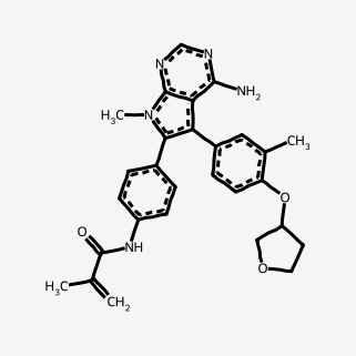 C=C(C)C(=O)Nc1ccc(-c2c(-c3ccc(OC4CCOC4)c(C)c3)c3c(N)ncnc3n2C)cc1